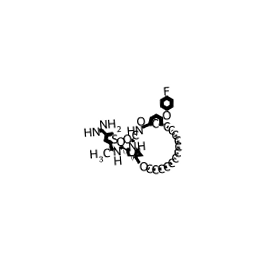 C[C@@H](NC(=O)[C@@H]1C[C@@]23COCCCCCCCCCCCCc4cc(ccc4Oc4ccc(F)cc4)C(=O)NCC(=O)N1[C@H]2C3)c1cc(C(=N)N)cs1